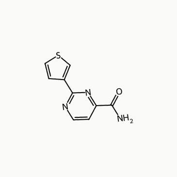 NC(=O)c1ccnc(-c2ccsc2)n1